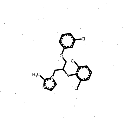 Cc1nccn1CC(COc1cccc(Cl)c1)Sc1c(Cl)cccc1Cl